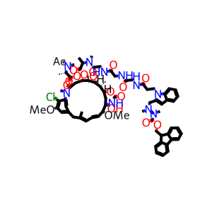 COc1cc2cc(c1Cl)N(C)C(=O)C[C@](OC(=O)C(C)N(C)C(=O)CNC(=O)CNC(=O)CNC(=O)CCn1c(CN(C)N(C)C(=O)OCC3c4ccccc4-c4ccccc43)cc3ccccc31)(OC(=O)[C@H](C)N(C)C(C)=O)[C@]1(C)O[C@H]1[C@H](C)[C@@H]1C[C@@](O)(NC(=O)O1)C(OC)/C=C/C=C(\C)C2